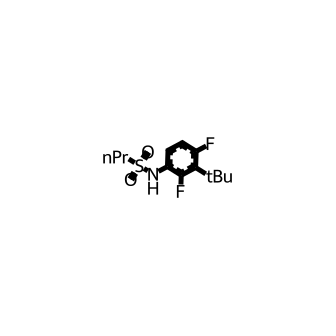 CCCS(=O)(=O)Nc1ccc(F)c(C(C)(C)C)c1F